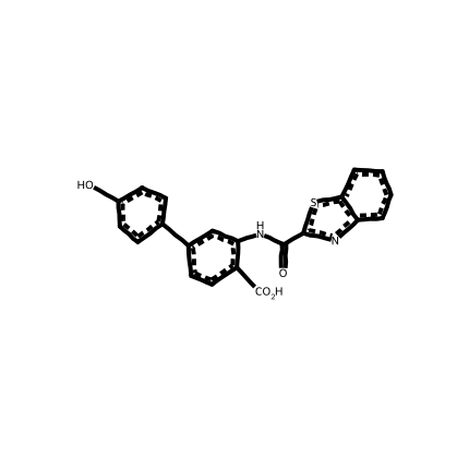 O=C(Nc1cc(-c2ccc(O)cc2)ccc1C(=O)O)c1nc2ccccc2s1